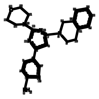 Nc1ccc(-c2cc(N3CCc4ccccc4C3)nc(N3CCOCC3)n2)cn1